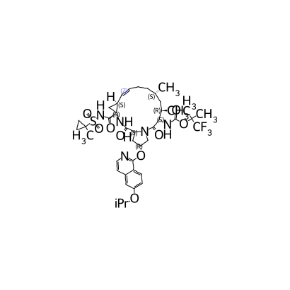 CC(C)Oc1ccc2c(O[C@@H]3C[C@H]4C(=O)N[C@]5(C(=O)NS(=O)(=O)C6(C)CC6)C[C@H]5/C=C\CC[C@H](C)C[C@@H](C)[C@H](NC(=O)OC(C)(C)C(F)(F)F)C(=O)N4C3)nccc2c1